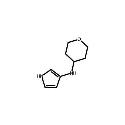 c1cc(NC2CCOCC2)c[nH]1